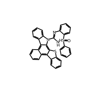 O=[SH]1(c2ccccc2)NC(n2c3ccccc3c3c4ccccc4c4c5ccccc5sc4c32)=Nc2ccccc21